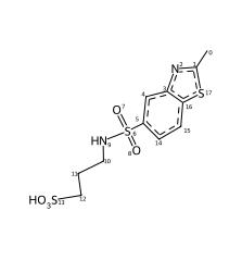 Cc1nc2cc(S(=O)(=O)NCCCS(=O)(=O)O)ccc2s1